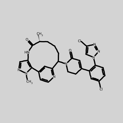 C[C@@H]1CCCC(N2CCC(c3cc(Cl)ccc3-n3cc(Cl)nn3)=CC2=O)c2cc(ccn2)-c2c(cnn2C)NC1=O